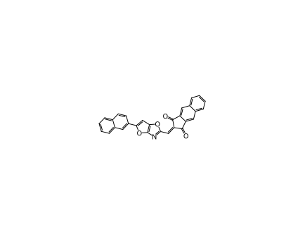 O=C1C(=Cc2nc3oc(-c4ccc5ccccc5c4)cc3o2)C(=O)c2cc3ccccc3cc21